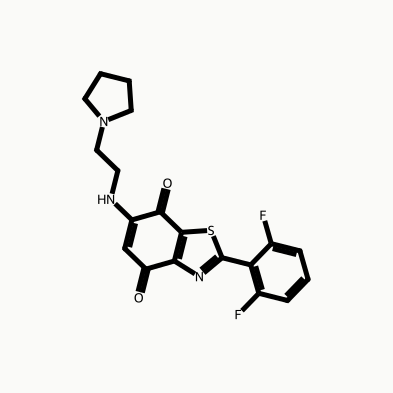 O=C1C=C(NCCN2CCCC2)C(=O)c2sc(-c3c(F)cccc3F)nc21